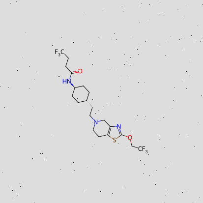 O=C(CCC(F)(F)F)N[C@H]1CC[C@H](CCN2CCc3sc(OCC(F)(F)F)nc3C2)CC1